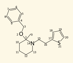 CC1(OCc2ccccc2)CCCCN1CCc1cccs1